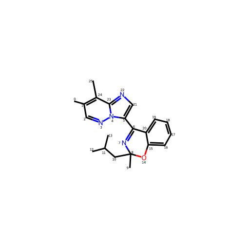 Cc1cnn2c(C3=NC(C)(CC(C)C)Oc4ccccc43)cnc2c1C